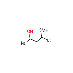 CCC(CC(O)C#N)SC